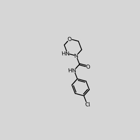 O=C(Nc1ccc(Cl)cc1)N1CCOCN1